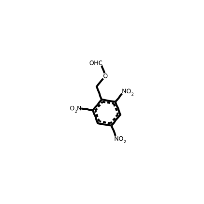 O=COCc1c([N+](=O)[O-])cc([N+](=O)[O-])cc1[N+](=O)[O-]